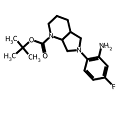 CC(C)(C)OC(=O)N1CCCC2CN(c3ccc(F)cc3N)CC21